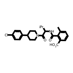 Cc1cccc(C(=O)O)c1C(=O)NC(C(=O)N1CCC(c2ccc(Cl)cc2)CC1)C(C)C